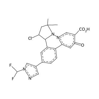 CC1(C)CC(Cl)C2c3cc(-c4cnn(C(F)F)c4)ccc3-c3cc(=O)c(C(=O)O)cn3N21